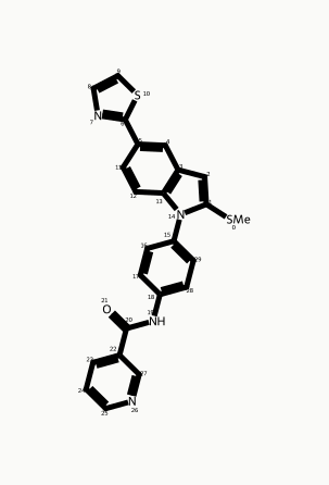 CSc1cc2cc(-c3nccs3)ccc2n1-c1ccc(NC(=O)c2cccnc2)cc1